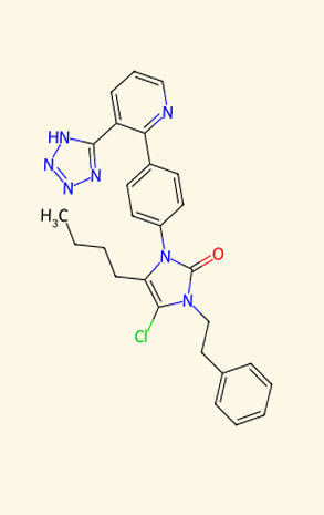 CCCCc1c(Cl)n(CCc2ccccc2)c(=O)n1-c1ccc(-c2ncccc2-c2nnn[nH]2)cc1